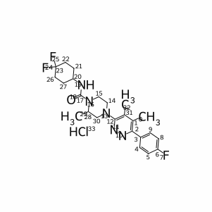 Cc1c(-c2ccc(F)cc2)nnc(N2CCN(C(=O)NC3CCC(F)(F)CC3)C(C)C2)c1C.Cl